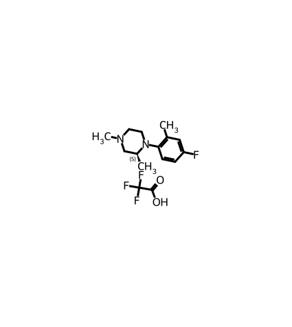 Cc1cc(F)ccc1N1CCN(C)C[C@@H]1C.O=C(O)C(F)(F)F